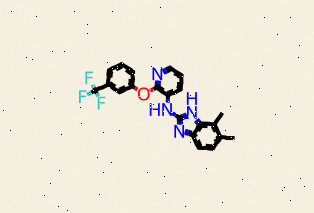 Cc1ccc2nc(Nc3cccnc3Oc3cccc(C(F)(F)F)c3)[nH]c2c1C